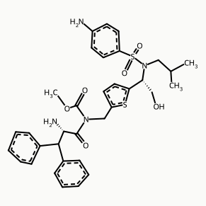 COC(=O)N(Cc1ccc([C@@H](CO)N(CC(C)C)S(=O)(=O)c2ccc(N)cc2)s1)C(=O)[C@@H](N)C(c1ccccc1)c1ccccc1